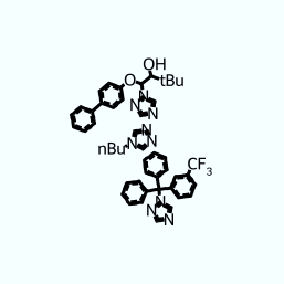 CC(C)(C)C(O)C(Oc1ccc(-c2ccccc2)cc1)n1cncn1.CCCCn1cnnc1.FC(F)(F)c1cccc(C(c2ccccc2)(c2ccccc2)n2cncn2)c1